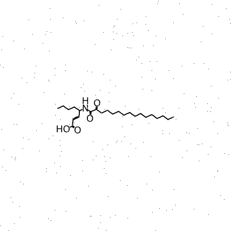 CCCCCCCCCCCCCCC(=O)C(=O)NC(C=CC(=O)O)CCCC